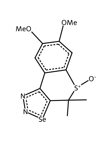 COc1cc2c(cc1OC)[S+]([O-])C(C)(C)c1[se]nnc1-2